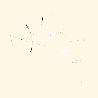 CC(C)(C)OC(=O)NC(C(=O)N1C[C@H]2[C@@H]([C@H]1C(=O)O)C21CC1)C(C)(C)C